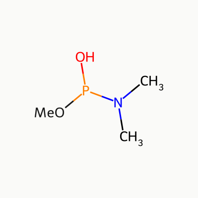 COP(O)N(C)C